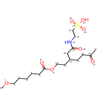 COCCCCCC(=O)OCCC(CCC(C)=O)CC(=O)NCCS(=O)(=O)O